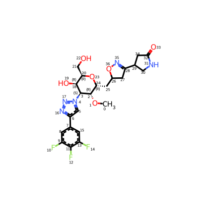 CO[C@@H]1[C@@H](n2cc(-c3cc(F)c(F)c(F)c3)nn2)[C@@H](O)[C@@H](CO)O[C@@H]1CC1CC(C2CNC(=O)C2)=NO1